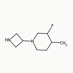 CC1CCN(C2CNC2)CC1F